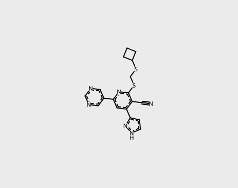 N#Cc1c(-c2cc[nH]n2)cc(-c2cncnc2)nc1SCSC1CCC1